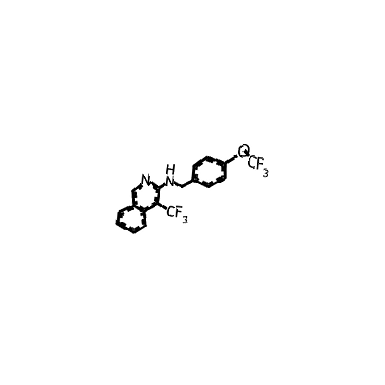 FC(F)(F)Oc1ccc(CNc2ncc3ccccc3c2C(F)(F)F)cc1